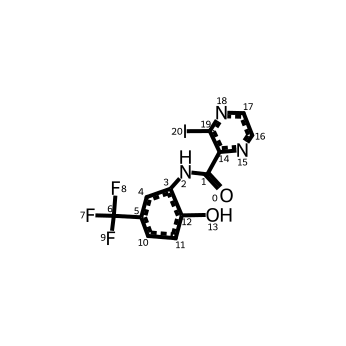 O=C(Nc1cc(C(F)(F)F)ccc1O)c1nccnc1I